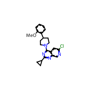 COc1ccccc1C1CCN(c2nc(C3CC3)nc3cnc(Cl)cc23)CC1